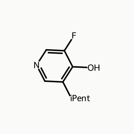 CCCC(C)c1cncc(F)c1O